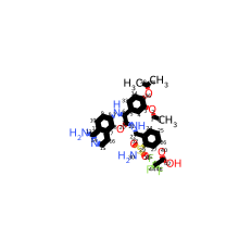 CCOc1cc(C(Nc2ccc3c(N)nccc3c2)C(=O)NCc2ccccc2S(N)(=O)=O)ccc1OC(C)C.O=C(O)C(F)(F)F